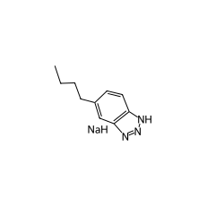 CCCCc1ccc2[nH]nnc2c1.[NaH]